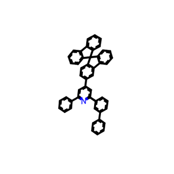 c1ccc(-c2cccc(-c3cc(-c4ccc5c(c4)-c4ccccc4C54c5ccccc5-c5ccccc54)cc(-c4ccccc4)n3)c2)cc1